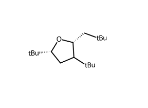 CC(C)(C)C[C@H]1O[C@@H](C(C)(C)C)CC1C(C)(C)C